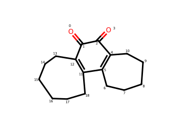 O=C1C(=O)C2=C(CCCCC2)C2=C1CCCCCC2